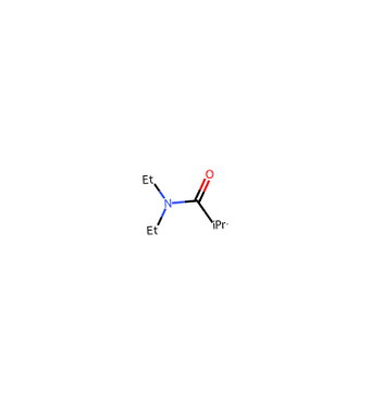 CCN(CC)C(=O)[C](C)C